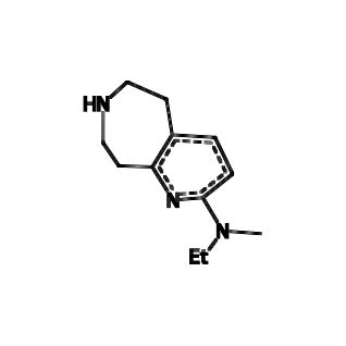 CCN(C)c1ccc2c(n1)CCNCC2